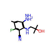 Cc1cc(NN)c(NCC(C)(C)O)c(C#N)c1F